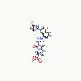 COC(=O)c1cn2c(=O)n(CCNc3nccc4ccc(-c5noc(C)n5)cc34)cc2cn1